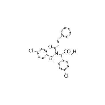 C[C@H](c1ccc(Cl)cc1)N(C(=O)C=Cc1ccccc1)C(C(=O)O)c1ccc(Cl)cc1